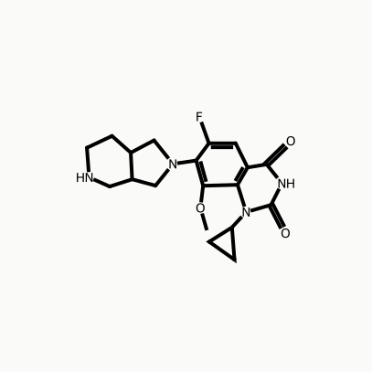 COc1c(N2CC3CCNCC3C2)c(F)cc2c(=O)[nH]c(=O)n(C3CC3)c12